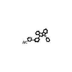 N#Cc1ccnc(-c2cccc(-c3cc4c(c5ccccc35)c3ccccc3n4-c3ccccc3)c2)c1